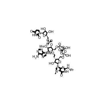 COCC[C@H]1[C@@H](O)[C@H](n2c[n+](C)c3c(=O)[nH]c(NC(C)C)nc32)O[C@@H]1COP(=O)(O)OP(=O)(O)OP(=O)(O)OC[C@H]1O[C@@H](n2cnc3c(N)ncnc32)[C@H](OC)[C@@H]1OP(=O)([O-])OC[C@H]1O[C@@H](n2ccc(=O)[nH]c2=O)[C@H](O)[C@@H]1O